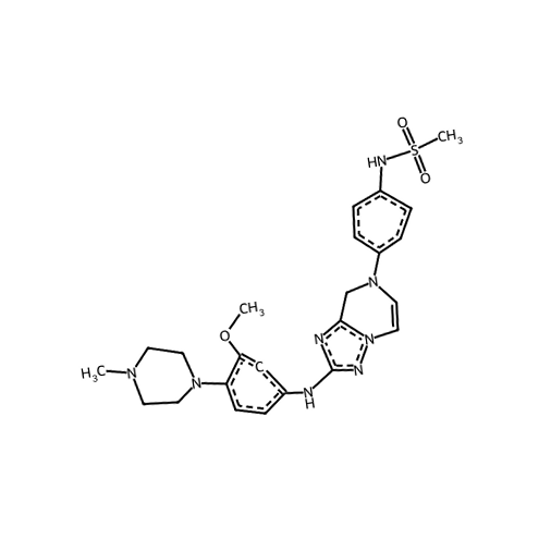 COc1cc(Nc2nc3n(n2)C=CN(c2ccc(NS(C)(=O)=O)cc2)C3)ccc1N1CCN(C)CC1